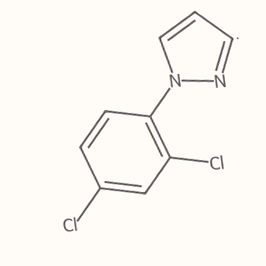 Clc1ccc(-n2cc[c]n2)c(Cl)c1